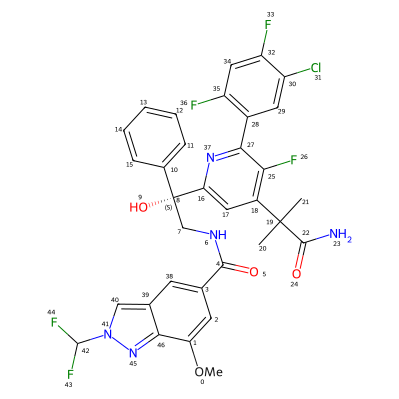 COc1cc(C(=O)NC[C@@](O)(c2ccccc2)c2cc(C(C)(C)C(N)=O)c(F)c(-c3cc(Cl)c(F)cc3F)n2)cc2cn(C(F)F)nc12